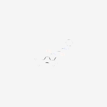 COc1cc2c(c(OC)c1OC)C(C)=CN(CC(O)CNC1CCCCC1)C2O